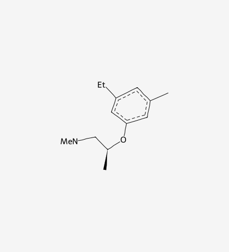 CCc1cc(C)cc(O[C@@H](C)CNC)c1